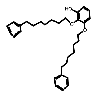 Oc1cccc(OCCCCCCCc2ccccc2)c1OCCCCCCCc1ccccc1